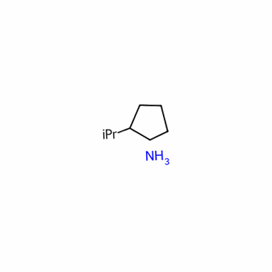 CC(C)C1CCCC1.N